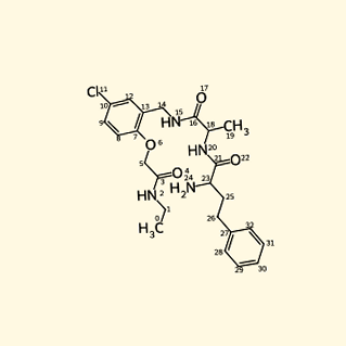 CCNC(=O)COc1ccc(Cl)cc1CNC(=O)C(C)NC(=O)C(N)CCc1ccccc1